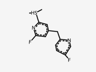 C[SH](C)c1cc(Cc2ccc(F)cn2)cc(F)n1